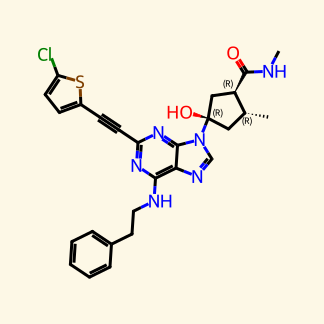 CNC(=O)[C@@H]1C[C@@](O)(n2cnc3c(NCCc4ccccc4)nc(C#Cc4ccc(Cl)s4)nc32)C[C@H]1C